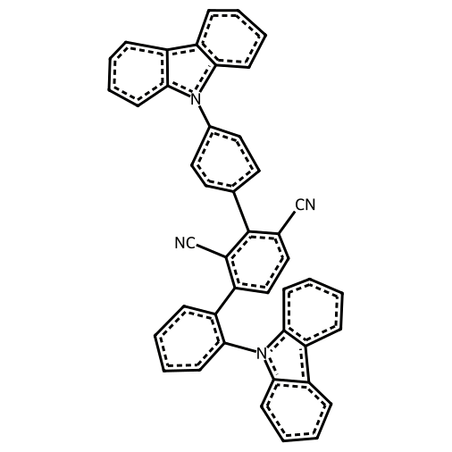 N#Cc1ccc(-c2ccccc2-n2c3ccccc3c3ccccc32)c(C#N)c1-c1ccc(-n2c3ccccc3c3ccccc32)cc1